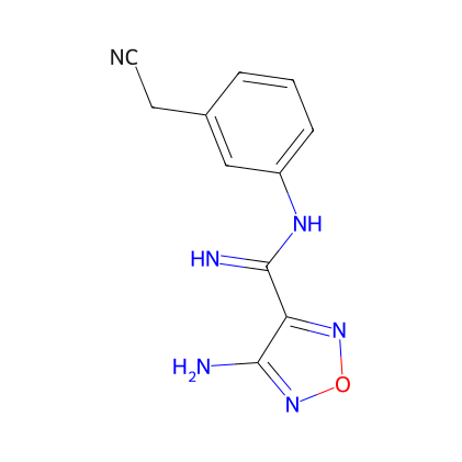 N#CCc1cccc(NC(=N)c2nonc2N)c1